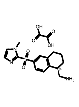 Cn1ccnc1S(=O)(=O)c1ccc2c(c1)CCC[C@H]2CN.O=C(O)C(=O)O